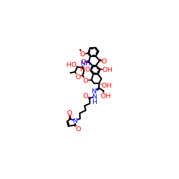 COc1cccc2c1C(=O)c1c(O)c3c(c(O)c1C2=O)C[C@@](O)(C(CO)=NNC(=O)CCCCCN1C(=O)C=CC1=O)CC3OC1CC(N)C(O)C(C)O1